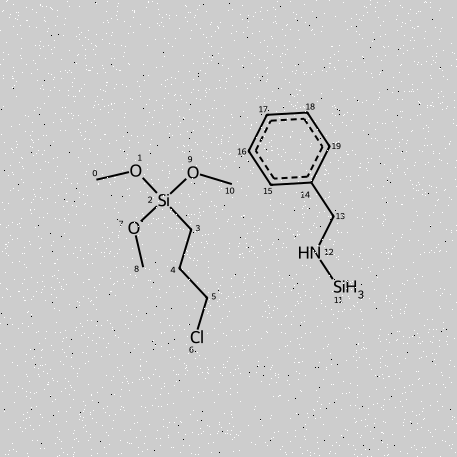 CO[Si](CCCCl)(OC)OC.[SiH3]NCc1ccccc1